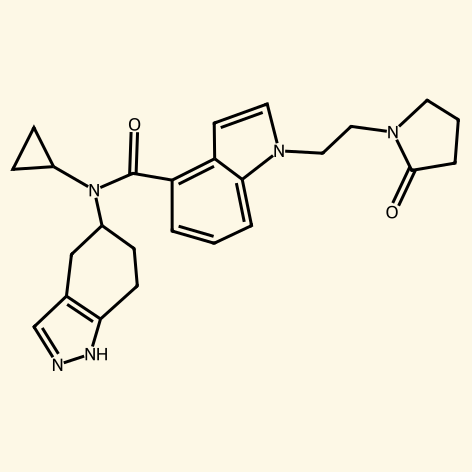 O=C1CCCN1CCn1ccc2c(C(=O)N(C3CC3)C3CCc4[nH]ncc4C3)cccc21